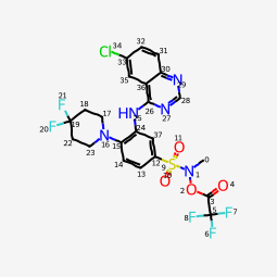 CN(OC(=O)C(F)(F)F)S(=O)(=O)c1ccc(N2CCC(F)(F)CC2)c(Nc2ncnc3ccc(Cl)cc23)c1